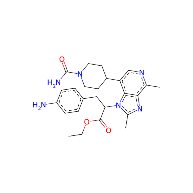 CCOC(=O)C(Cc1ccc(N)cc1)n1c(C)nc2c(C)ncc(C3CCN(C(N)=O)CC3)c21